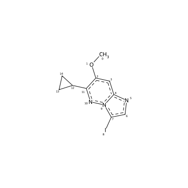 COc1cc2ncc(I)n2nc1C1CC1